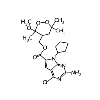 COC1(C)OOC(C)(C)CC1COC(=O)c1cc2c(Cl)nc(N)nc2n1C1CCCC1